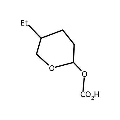 CCC1CCC(OC(=O)O)OC1